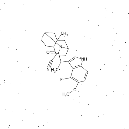 COc1ccc2[nH]cc(C(C)C(=O)N3C4CCC5C(C#N)CC3CC5(C)C4)c2c1F